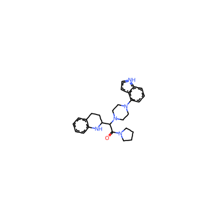 O=C(C(C1CCc2ccccc2N1)N1CCN(c2cccc3[nH]ccc23)CC1)N1CCCC1